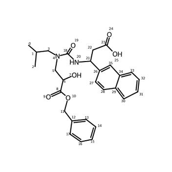 CC(C)CN(CC(O)C(=O)OCc1ccccc1)C(=O)NC(CC(=O)O)c1ccc2ccccc2c1